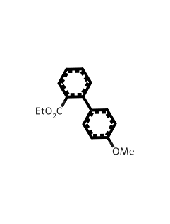 CCOC(=O)c1ccccc1-c1ccc(OC)cc1